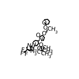 C[C@@H](COC1CCN([C@@H]2CCN(c3ncc(C(F)(F)F)cn3)C[C@H]2O[Si](C)(C)C(C)(C)C)C1=O)OC1CCCCO1